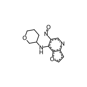 O=Nc1cnc2ccoc2c1NC1CCCOC1